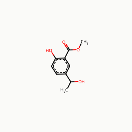 [CH2]C(O)c1ccc(O)c(C(=O)OC)c1